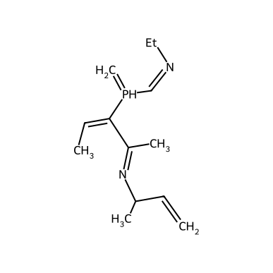 C=CC(C)/N=C(C)/C(=C\C)[PH](=C)/C=N\CC